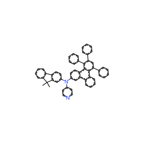 CC1(C)c2ccccc2-c2ccc(N(c3ccncc3)c3ccc4c(c3)c3ccccc3c3c(-c5ccccc5)cc(-c5ccccc5)c(-c5ccccc5)c43)cc21